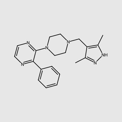 Cc1n[nH]c(C)c1CN1CCN(c2nccnc2-c2ccccc2)CC1